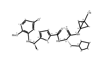 COc1ncc(Cl)cc1N[C@H](C)c1ccc(C(=O)N[C@@H](CC2CCCC2)C(=O)NC23CC(C#N)(C2)C3)s1